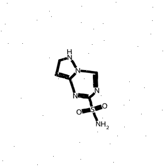 NS(=O)(=O)C1=NC2=CCNN2C=N1